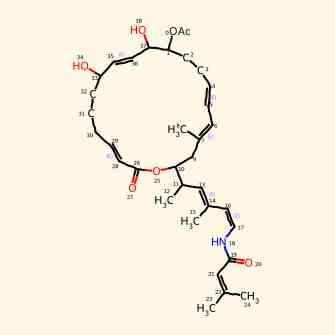 CC(=O)OC1CC/C=C/C=C(\C)CC(C(C)/C=C(C)/C=C\NC(=O)C=C(C)C)OC(=O)/C=C/CCCC(O)/C=C/C1O